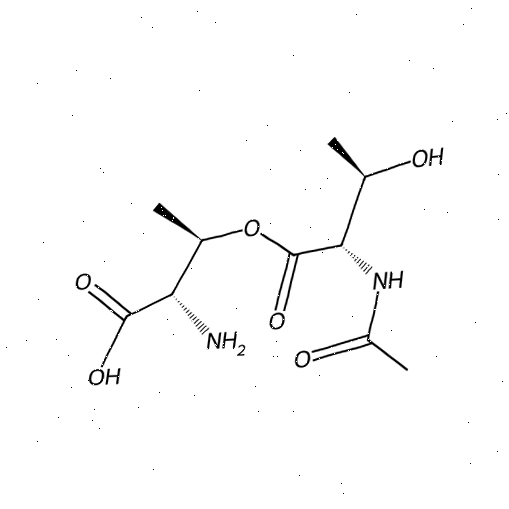 CC(=O)N[C@H](C(=O)O[C@H](C)[C@H](N)C(=O)O)[C@@H](C)O